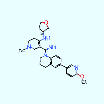 CCOc1ccc(-c2ccc3c(c2)CCCN3C(=N)C2=C(N[C@H]3CCOC3)CCN(C(C)=O)C2)cn1